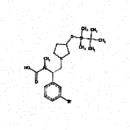 CN(C(=O)O)[C@H](CN1CCC(O[Si](C)(C)C(C)(C)C)C1)c1cccc(Br)c1